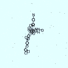 COCCNc1ccc(S(=O)(=O)N2Cc3cc4c(cc3CC2C(=O)N[C@@H](Cc2ccc(-c3ccc(C#N)cc3)cc2)C(=O)O)OC[C@H](c2ccc(OCc3ccc(Cl)c(Cl)c3)cc2)O4)c(C)n1